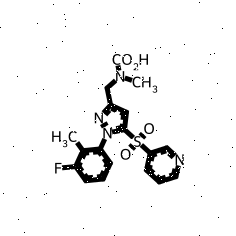 Cc1c(F)cccc1-n1nc(CN(C)C(=O)O)cc1S(=O)(=O)c1cccnc1